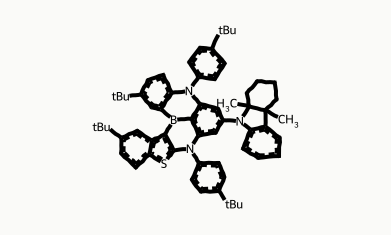 CC(C)(C)c1ccc(N2c3ccc(C(C)(C)C)cc3B3c4c2cc(N2c5ccccc5C5(C)CCCCC25C)cc4N(c2ccc(C(C)(C)C)cc2)c2sc4ccc(C(C)(C)C)cc4c23)cc1